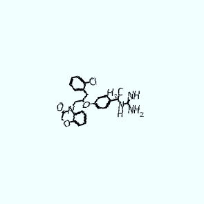 CC(NC(=N)N)c1ccc(OC(Cc2ccccc2Cl)CN2C(=O)COc3ccccc32)cc1